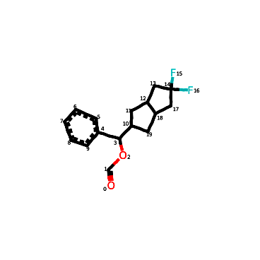 O=COC(c1ccccc1)C1CC2CC(F)(F)CC2C1